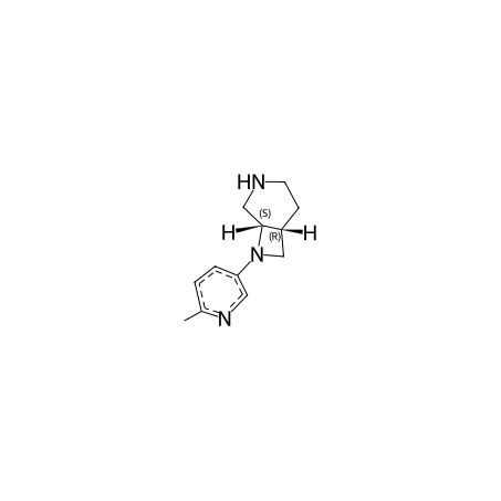 Cc1ccc(N2C[C@H]3CCNC[C@H]32)cn1